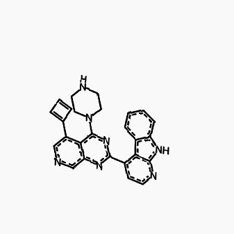 C1=CC(c2cncc3nc(-c4ccnc5[nH]c6ccccc6c45)nc(N4CCNCC4)c23)=C1